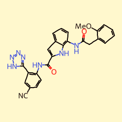 COc1ccccc1CC(=O)Nc1cccc2cc(C(=O)Nc3ccc(C#N)cc3-c3nnn[nH]3)[nH]c12